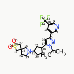 CC(C)n1nc(-c2cncc(C(F)(F)F)c2)cc1C1CCC(N2CCC3(C2)CS(=O)(=O)C3)C1